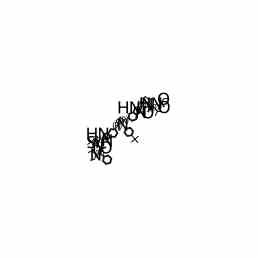 CCN(CC)[C@@H](C(=O)N1C[Si](C)(C)C[C@H]1c1nc2ccc([C@H]3CC[C@H](c4ccc5nc([C@@H]6CCCN6C(=O)[C@@H](NC(=O)OC)C(C)C)[nH]c5c4)N3c3ccc(C(C)(C)C)cc3)cc2[nH]1)c1ccccc1